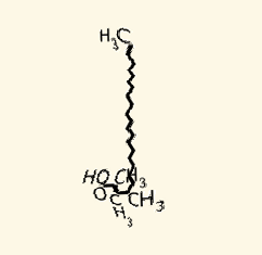 CCCCCCCCCCCCCCCCCCCCC(C)C(C)=C(C)C(=O)O